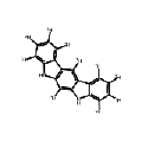 [2H]c1c([2H])c([2H])c2c([nH]c3c([2H])c4[nH]c5c([2H])c([2H])c([2H])c([2H])c5c4c([2H])c32)c1[2H]